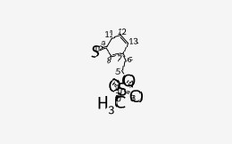 CS(=O)(=O)OCCC1=CC(=S)CC=C1